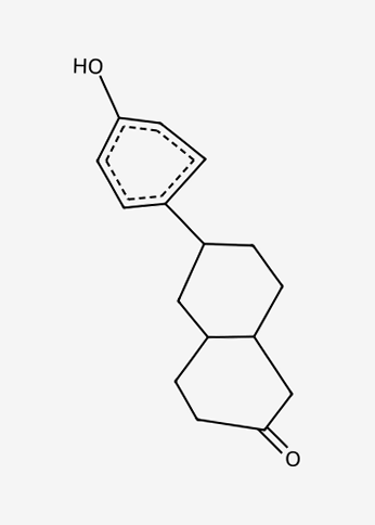 O=C1CCC2CC(c3ccc(O)cc3)CCC2C1